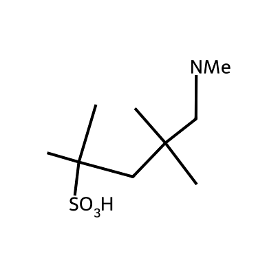 CNCC(C)(C)CC(C)(C)S(=O)(=O)O